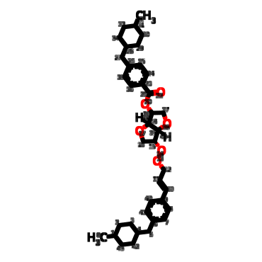 CC1CCC(Cc2ccc(/C=C/COO[C@H]3CO[C@@H]4C(OC(=O)c5ccc(CC6CCC(C)CC6)cc5)CO[C@H]34)cc2)CC1